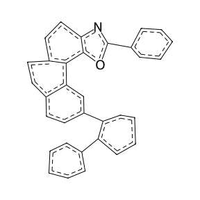 c1ccc(-c2nc3ccc4ccc5ccc(-c6ccccc6-c6ccccc6)cc5c4c3o2)cc1